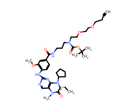 C#CCCOCCOCCN(CCCNC(=O)c1ccc(Nc2ncc3c(n2)N(C2CCCC2)[C@H](CC)C(=O)N3C)c(OC)c1)C(=O)OC(C)(C)C